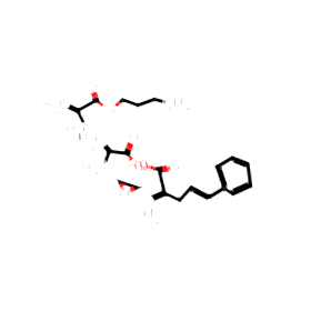 C1CO1.C=C(C)C(=O)O.C=C(C)C(=O)OCCCC.C=C(CC=Cc1ccccc1)C(=O)O